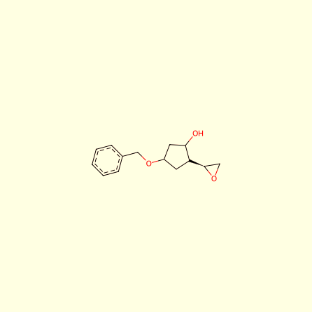 OC1CC(OCc2ccccc2)CC1[C@H]1CO1